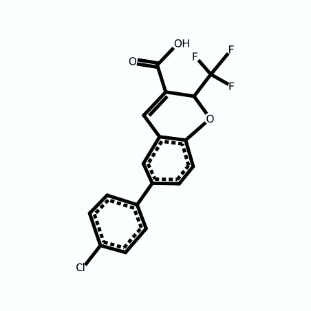 O=C(O)C1=Cc2cc(-c3ccc(Cl)cc3)ccc2OC1C(F)(F)F